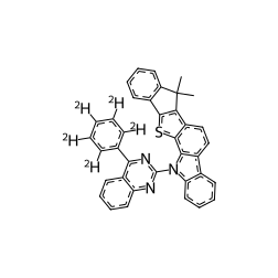 [2H]c1c([2H])c([2H])c(-c2nc(-n3c4ccccc4c4ccc5c6c(sc5c43)-c3ccccc3C6(C)C)nc3ccccc23)c([2H])c1[2H]